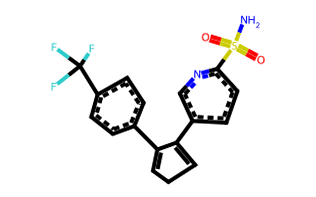 NS(=O)(=O)c1ccc(C2=CCC=C2c2ccc(C(F)(F)F)cc2)cn1